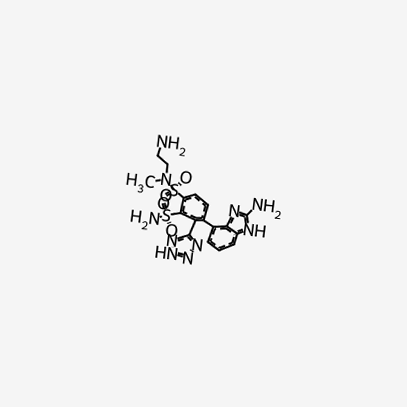 CN(CCN)S(=O)(=O)c1ccc(-c2cccc3[nH]c(N)nc23)c(-c2nn[nH]n2)c1S(N)(=O)=O